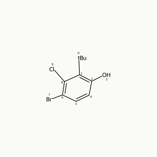 CC(C)(C)c1c(O)ccc(Br)c1Cl